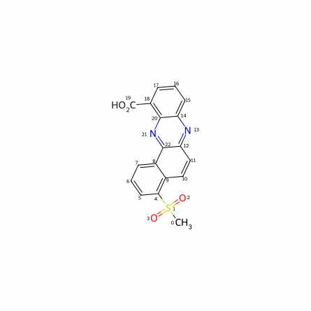 CS(=O)(=O)c1cccc2c1ccc1nc3cccc(C(=O)O)c3nc12